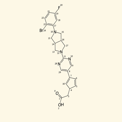 O=C(O)CC1C=CC(c2cnc(N3CC4CN(c5cc(F)ccc5Br)CC4C3)nc2)=C1